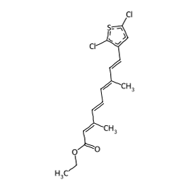 CCOC(=O)/C=C(C)/C=C/C=C(C)/C=C/c1cc(Cl)sc1Cl